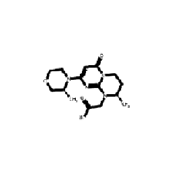 CC(C)C(=O)CN1c2nc(N3CCOC[C@@H]3C)cc(=O)n2CC[C@H]1C(F)(F)F